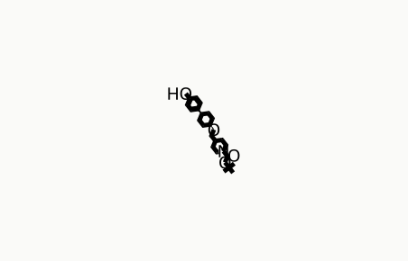 CC(C)(C)OC(=O)N1CCC(CO[C@H]2CC[C@H](c3ccc(O)cc3)CC2)CC1